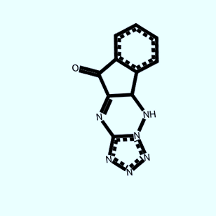 O=C1C2=Nc3nnnn3NC2c2ccccc21